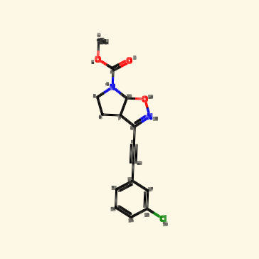 CC(C)(C)OC(=O)N1CCC2C(C#Cc3cccc(Cl)c3)=NOC21